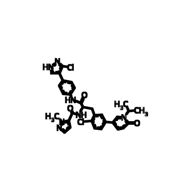 CC(C)n1cc(-c2ccc(Cl)c(CC(NC(=O)c3ccnn3C)C(=O)Nc3ccc(-c4c[nH]nc4Cl)cc3)c2)ccc1=O